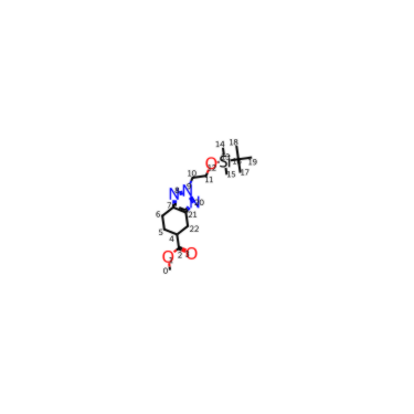 COC(=O)C1CCc2nn(CCO[Si](C)(C)C(C)(C)C)nc2C1